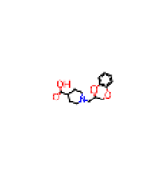 O=C(O)C1CCN(CC2COc3ccccc3O2)CC1